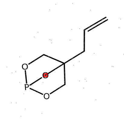 C=CCC12COP(OC1)OC2